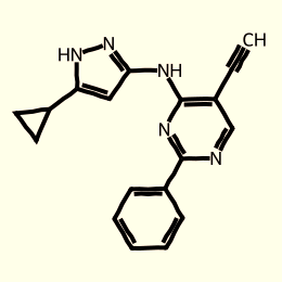 C#Cc1cnc(-c2ccccc2)nc1Nc1cc(C2CC2)[nH]n1